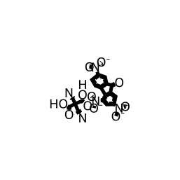 N#CC(C#N)(C(=O)O)C(=O)O.O=C1c2cc([N+](=O)[O-])ccc2-c2c1cc([N+](=O)[O-])cc2[N+](=O)[O-]